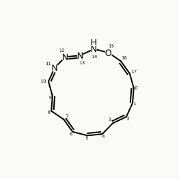 C1=C\C=C\C=C/C=C/C=C/C=N\N=N\NO\C=C/1